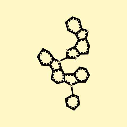 c1ccc(-n2c3ccccc3c3c2ccc2c4ccccc4n(-c4nc5ccc6sc7ccccc7c6c5s4)c23)cc1